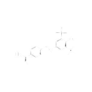 CC(C)(C)c1cc(OCc2ccc(C(=O)O)cc2)cc(C(C)(C)C)c1O